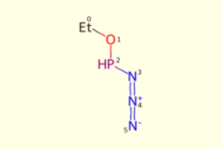 [CH2]COPN=[N+]=[N-]